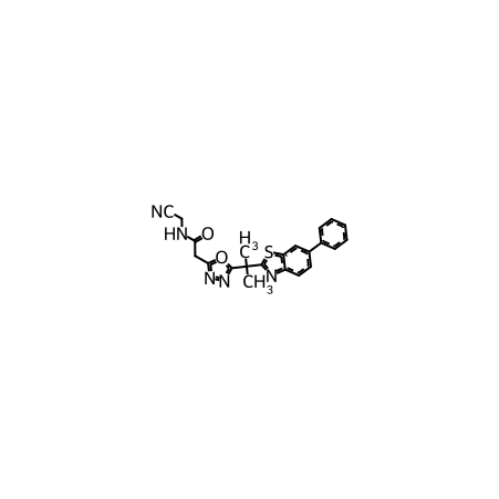 CC(C)(c1nnc(CC(=O)NCC#N)o1)c1nc2ccc(-c3ccccc3)cc2s1